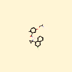 Cc1ccc(OCC(C)N)cc1C(=O)NC1(c2cc(Br)cc3ccccc23)CC1